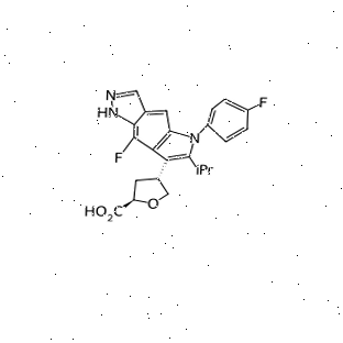 CC(C)c1c([C@@H]2CO[C@@H](C(=O)O)C2)c2c(F)c3[nH]ncc3cc2n1-c1ccc(F)cc1